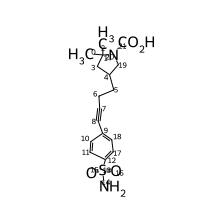 CC1(C)CC(CCC#Cc2ccc(S(N)(=O)=O)cc2)CN1C(=O)O